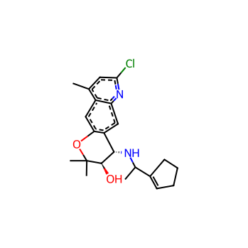 Cc1cc(Cl)nc2cc3c(cc12)OC(C)(C)[C@H](O)[C@H]3NC(C)C1=CCCC1